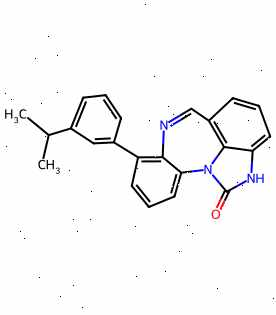 CC(C)c1cccc(-c2cccc3c2N=Cc2cccc4[nH]c(=O)n-3c24)c1